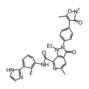 CCn1c2c(C(=O)Nc3cccc(-c4ncc[nH]4)c3F)nc(C)cc2c(=O)n1-c1ccc(-c2c(C)on(C)c2=O)cc1